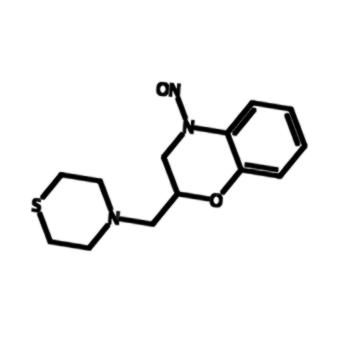 O=NN1CC(CN2CCSCC2)Oc2ccccc21